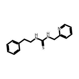 S=C(NCCc1ccccc1)NCc1ccccn1